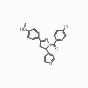 CBc1ccc(C2=NN(C(=O)c3ccc(Cl)cc3)C(c3ccncc3)C2)cc1